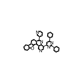 c1ccc(-c2cc(-c3cncc4c3nc(-c3cccnc3)c3ccc5c6ccccc6oc5c34)nc(-c3ccccc3)n2)cc1